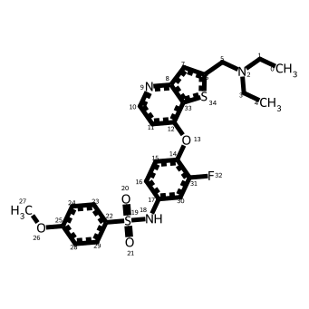 CCN(CC)Cc1cc2nccc(Oc3ccc(NS(=O)(=O)c4ccc(OC)cc4)cc3F)c2s1